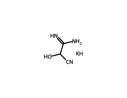 N#CC(O)C(=N)N.[KH]